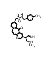 CNCC(C=N)c1cnc2ccc3ccc(CS(=O)(=O)NCc4ccc(C)cc4)cc3c(=O)c2c1